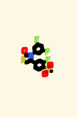 CS(=O)(=O)c1ccc(-c2csc(=O)n2-c2cc(F)cc(F)c2)cc1F